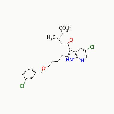 CC(CC(=O)O)CC(=O)c1c(CCCCOCc2cccc(Cl)c2)[nH]c2ncc(Cl)cc12